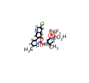 C[C@H]1CC=C(OS(=O)(=O)C(F)(F)F)N(C(=O)O)C1.C[C@H]1CC=C(c2ccc3cc(Cl)cnc3c2)N(C(=O)OC(C)(C)C)C1